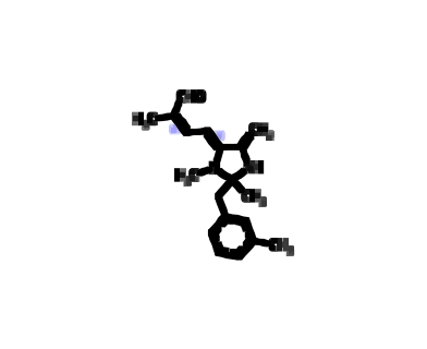 C=C1NC(C)(Cc2cccc(C)c2)N(C)/C1=C\C=C(\C)C=O